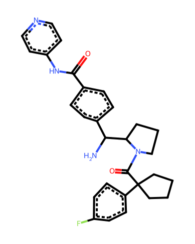 NC(c1ccc(C(=O)Nc2ccncc2)cc1)C1CCCN1C(=O)C1(c2ccc(F)cc2)CCCC1